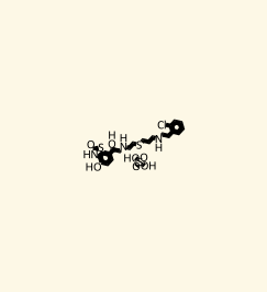 O=S(=O)(O)O.O=c1[nH]c2c(O)ccc([C@@H](O)CNCCSCCCNCCc3ccccc3Cl)c2s1